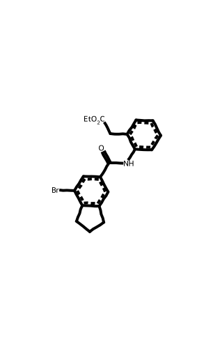 CCOC(=O)Cc1ccccc1NC(=O)c1cc(Br)c2c(c1)CCC2